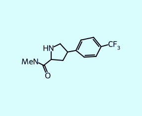 CNC(=O)C1CC(c2ccc(C(F)(F)F)cc2)CN1